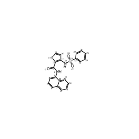 O=C(Nc1cccc2cccnc12)c1sccc1NS(=O)(=O)c1ccccc1